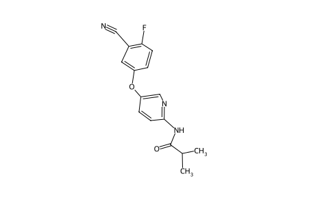 CC(C)C(=O)Nc1ccc(Oc2ccc(F)c(C#N)c2)cn1